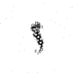 CCS(=O)(=O)Nc1nc(N2CCc3cc(-c4ccc(CCOC(F)(F)F)cc4)ccc3C2=O)cnc1O